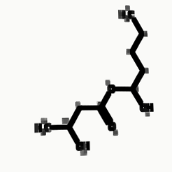 CCCCC(O)OC(=O)CC(C)O